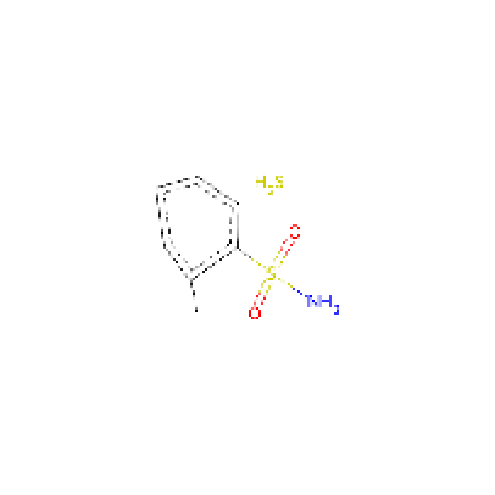 Cc1ccccc1S(N)(=O)=O.S